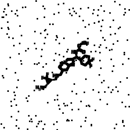 CC(C)(C)OC(=O)N[C@H](c1cn2ncc(CNC[C@@H]3[C@H](CN)C3(F)F)cc2n1)C1CCC(F)(F)CC1